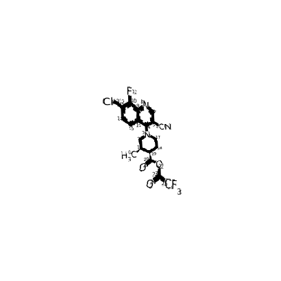 C[C@H]1CN(c2c(C#N)cnc3c(F)c(Cl)ccc23)CC[C@H]1C(=O)OC(=O)C(F)(F)F